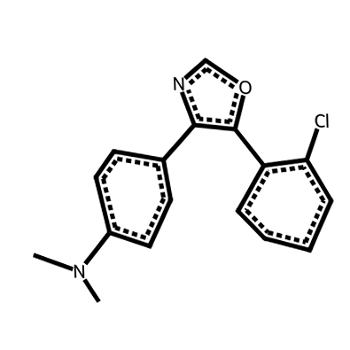 CN(C)c1ccc(-c2ncoc2-c2ccccc2Cl)cc1